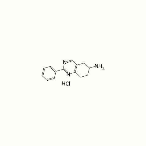 Cl.NC1CCc2nc(-c3ccccc3)ncc2C1